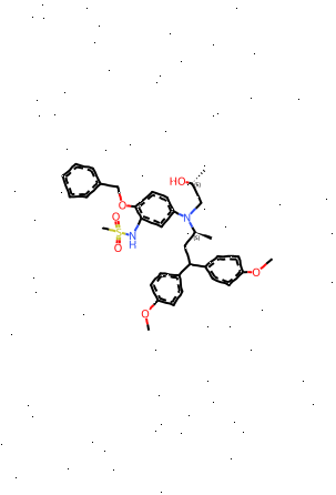 COc1ccc(C(C[C@H](C)N(C[C@@H](C)O)c2ccc(OCc3ccccc3)c(NS(C)(=O)=O)c2)c2ccc(OC)cc2)cc1